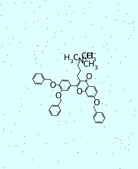 C[N+](C)(C)CCCc1c(-c2ccc(OCc3ccccc3)c(OCc3ccccc3)c2)oc2cc(OCc3ccccc3)ccc2c1=O.[Cl-]